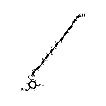 C#CC#CC#CC#CC#CC#CC#CC#CC#CC#CC#COc1cc(O)cc(CBr)c1